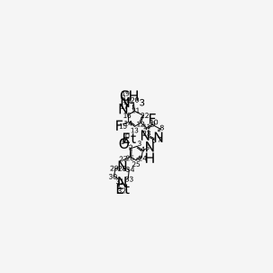 CCOc1cc(Nc2ncc(F)c(-c3cc(F)c4nn(C)cc4c3)n2)ccc1CN1CCN(CC)CC1